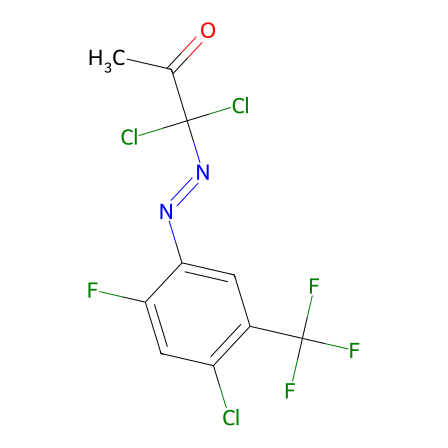 CC(=O)C(Cl)(Cl)N=Nc1cc(C(F)(F)F)c(Cl)cc1F